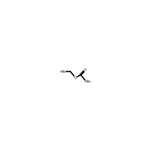 CCCCCOC(=O)CCCC